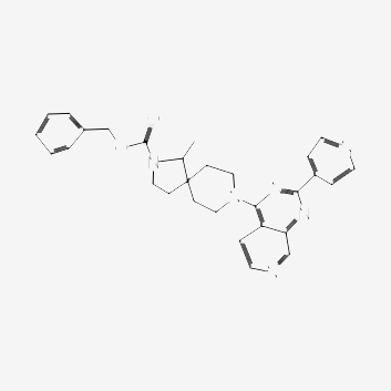 CC1N(C(=O)OCc2ccccc2)CCC12CCN(c1nc(-c3ccncc3)nc3cnccc13)CC2